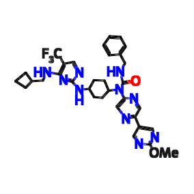 COc1ncc(-c2cnc(N(C(=O)NCc3ccccc3)C3CCC(Nc4ncc(C(F)(F)F)c(NCC5CCC5)n4)CC3)cn2)cn1